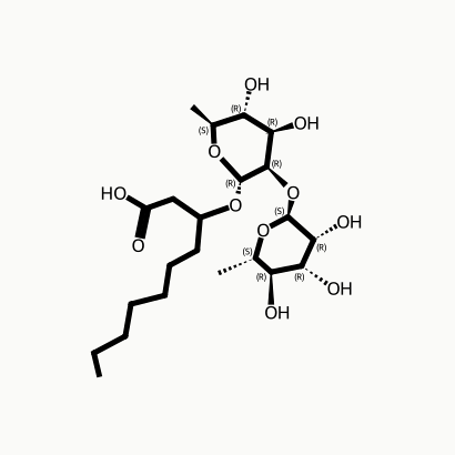 CCCCCCCC(CC(=O)O)O[C@@H]1O[C@@H](C)[C@H](O)[C@@H](O)[C@H]1O[C@@H]1O[C@@H](C)[C@H](O)[C@@H](O)[C@H]1O